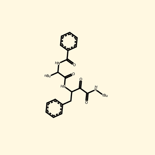 CCCCC(NC(=O)c1ccccc1)C(=O)NC(Cc1ccccc1)C(=O)C(=O)NC(C)(C)C